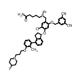 Cc1c(OCCCN2CCC(F)CC2)cccc1-c1cccc2c1CC[C@@H]2Oc1cc(OCc2cc(C#N)cc(C#N)c2)c(CN(CCCCC(N)=O)C(C)C)cc1Cl